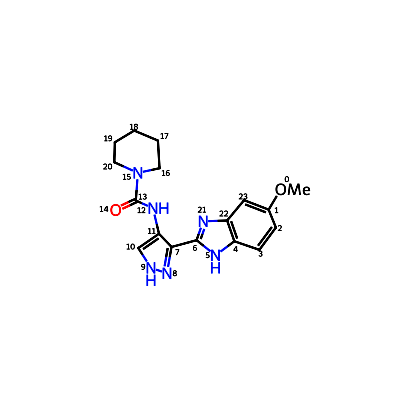 COc1ccc2[nH]c(-c3n[nH]cc3NC(=O)N3CCCCC3)nc2c1